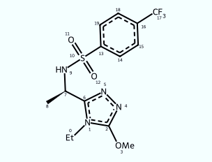 CCn1c(OC)nnc1[C@@H](C)NS(=O)(=O)c1ccc(C(F)(F)F)cc1